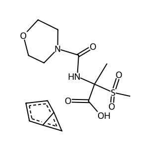 CC(NC(=O)N1CCOCC1)(C(=O)O)S(C)(=O)=O.c1cc2cc-2c1